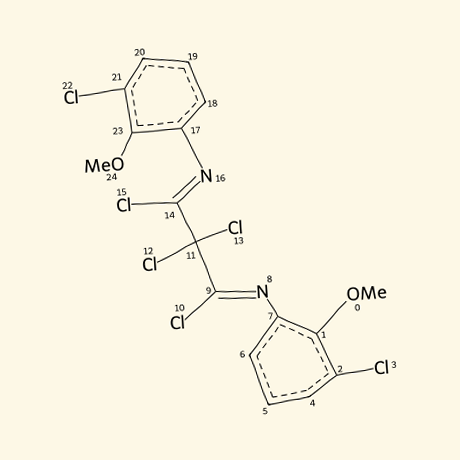 COc1c(Cl)cccc1N=C(Cl)C(Cl)(Cl)C(Cl)=Nc1cccc(Cl)c1OC